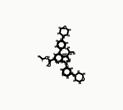 CCOC(=O)c1cc(-c2ccc(N3CCOCC3)cc2)c2c(C(C)C)nn(-c3cncc(N4CCOCC4)c3)c2n1